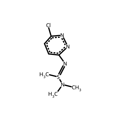 CN(C)/S(C)=N/c1ccc(Cl)nn1